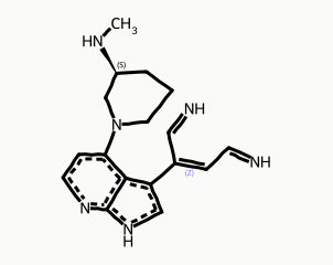 CN[C@H]1CCCN(c2ccnc3[nH]cc(/C(C=N)=C/C=N)c23)C1